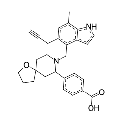 C#CCc1cc(C)c2[nH]ccc2c1CN1CCC2(CCCO2)CC1c1ccc(C(=O)O)cc1